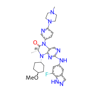 CO[C@H]1CC[C@H](N2c3nc(Nc4cc(F)c5[nH]ncc5c4)ncc3N(c3ccc(N4CCN(C)CC4)nc3)C(=O)[C@H]2C)CC1